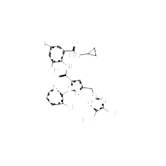 Cc1cc(I)cc(C(=O)NC2CC2)c1NC(=O)c1cc(Cn2nc(C(F)(F)F)c(C(F)(F)F)n2)nn1-c1ncccc1Cl